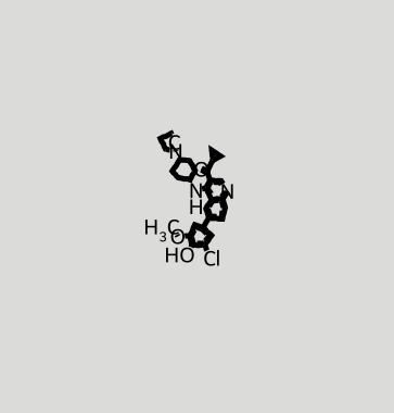 COc1cc(-c2ccc3ncc(C(=O)C4CC4)c(N[C@H]4CC[C@H](N5CCCC5)CC4)c3c2)cc(Cl)c1O